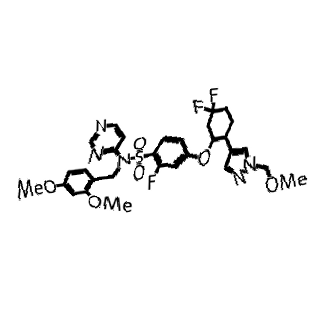 COCn1cc(C2CCC(F)(F)CC2Oc2ccc(S(=O)(=O)N(Cc3ccc(OC)cc3OC)c3ccncn3)c(F)c2)cn1